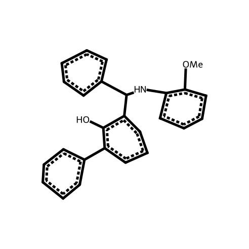 COc1ccccc1NC(c1ccccc1)c1cccc(-c2ccccc2)c1O